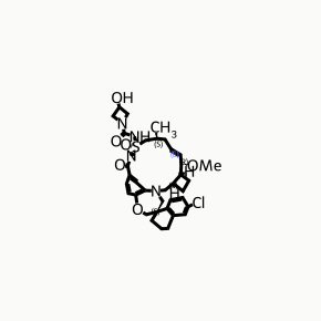 CO[C@H]1/C=C/C[C@H](C)CS(=O)(NC(=O)N2CC(O)C2)=NC(=O)c2ccc3c(c2)N(C[C@@H]2CC[C@H]21)C[C@@]1(CCCc2cc(Cl)ccc21)CO3